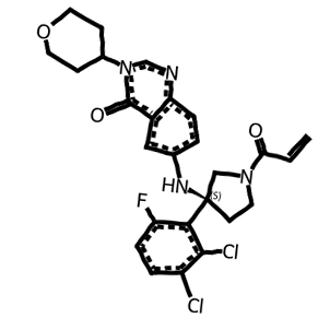 C=CC(=O)N1CC[C@](Nc2ccc3ncn(C4CCOCC4)c(=O)c3c2)(c2c(F)ccc(Cl)c2Cl)C1